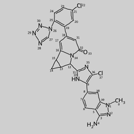 Cn1nc(N)c2ccc(-c3[nH]c(C4C5CC5c5cc(-c6cc(Cl)ccc6-n6cnnn6)cc(=O)n54)nc3Cl)cc21